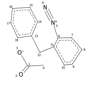 CC(=O)[O-].N#[N+]c1ccccc1Cc1ccccc1